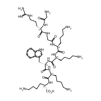 N=C(N)NCCC[C@H](NC(=O)CN)C(=O)NCC(=O)N[C@@H](CCCCN)C(=O)N[C@@H](CCCCN)C(=O)N[C@@H](Cc1c[nH]c2ccccc12)C(=O)N[C@@H](CCCCN)C(=O)N[C@@H](CCCCN)C(=O)O